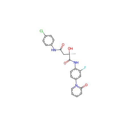 C[C@@](O)(CC(=O)Nc1ccc(Cl)cc1)C(=O)Nc1ccc(-n2ccccc2=O)cc1F